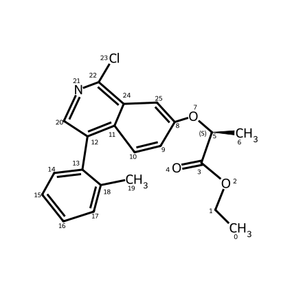 CCOC(=O)[C@H](C)Oc1ccc2c(-c3ccccc3C)cnc(Cl)c2c1